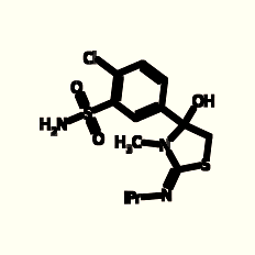 CC(C)N=C1SCC(O)(c2ccc(Cl)c(S(N)(=O)=O)c2)N1C